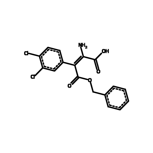 NC(C(=O)O)=C(C(=O)OCc1ccccc1)c1ccc(Cl)c(Cl)c1